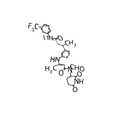 C/C(=C\C(=O)N(C=O)C1CCC(=O)NC1=O)Nc1cccc(C(C)CC(=O)Nc2cccc(C(F)(F)F)c2)c1